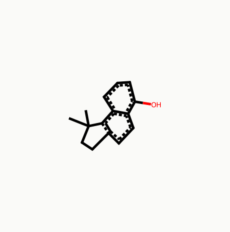 CC1(C)CCc2ccc3c(O)cccc3c21